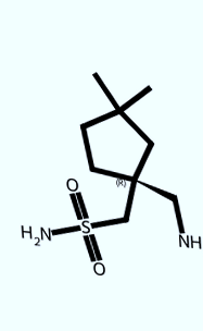 CC1(C)CC[C@@](CN)(CS(N)(=O)=O)C1